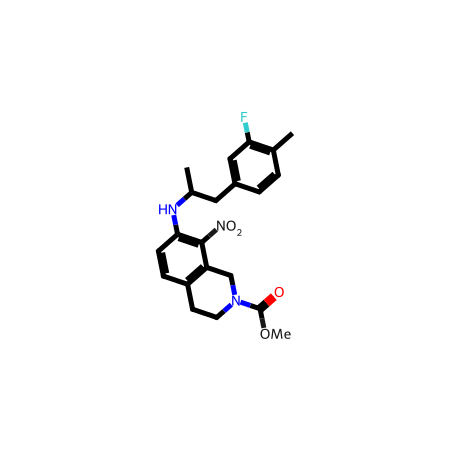 COC(=O)N1CCc2ccc(NC(C)Cc3ccc(C)c(F)c3)c([N+](=O)[O-])c2C1